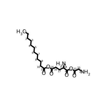 CCCCCCCCCCCC(=O)OC(=O)CCC(N)C(=O)OC(=O)CN